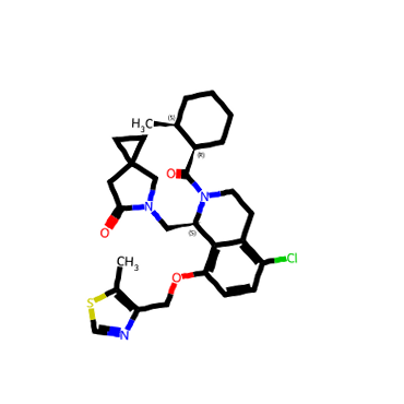 Cc1scnc1COc1ccc(Cl)c2c1[C@@H](CN1CC3(CC3)CC1=O)N(C(=O)[C@@H]1CCCC[C@@H]1C)CC2